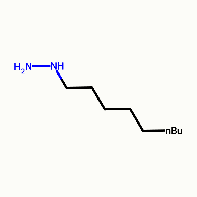 CCCCCCCCCNN